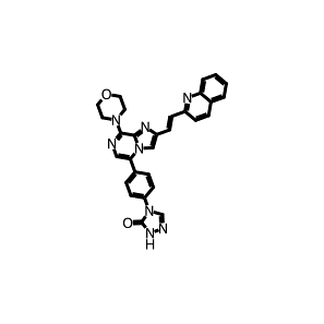 O=c1[nH]ncn1-c1ccc(-c2cnc(N3CCOCC3)c3nc(/C=C/c4ccc5ccccc5n4)cn23)cc1